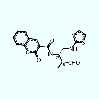 C[C@H](C=O)[C@@H](CNc1nccs1)NC(=O)c1cc2ccccc2oc1=O